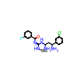 CC(C)(C)N/C(=N/C(=O)c1cccc(F)c1)NC(N)CC(N)c1cccc(Cl)c1